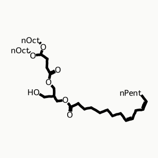 CCCCC/C=C\C/C=C\CCCCCCCC(=O)OCC(CO)COC(=O)CCC(OCCCCCCCC)OCCCCCCCC